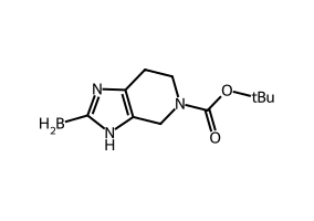 Bc1nc2c([nH]1)CN(C(=O)OC(C)(C)C)CC2